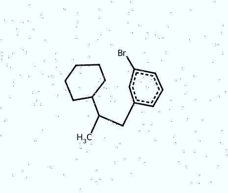 CC(Cc1cccc(Br)c1)C1CCCCC1